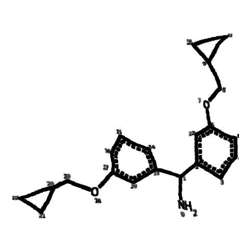 NC(c1cccc(OCC2CC2)c1)c1cccc(OCC2CC2)c1